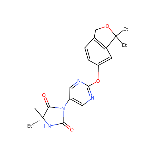 CCC1(CC)OCc2ccc(Oc3ncc(N4C(=O)N[C@](C)(CC)C4=O)cn3)cc21